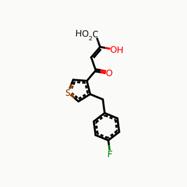 O=C(O)C(O)=CC(=O)c1cscc1Cc1ccc(F)cc1